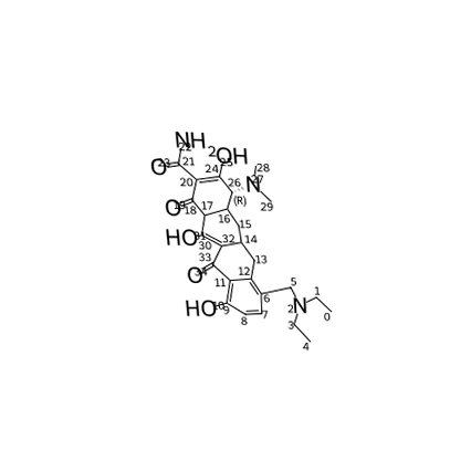 CCN(CC)Cc1ccc(O)c2c1CC1CC3C(C(=O)C(C(N)=O)=C(O)[C@@H]3N(C)C)C(O)=C1C2=O